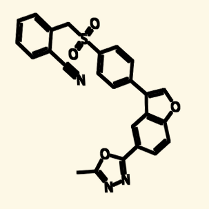 Cc1nnc(-c2ccc3occ(-c4ccc(S(=O)(=O)Cc5ccccc5C#N)cc4)c3c2)o1